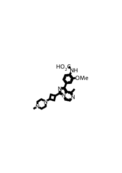 COc1cc(-c2nc(C3CC(N4CCN(C)CC4)C3)n3ccnc(C)c23)ccc1NC(=O)O